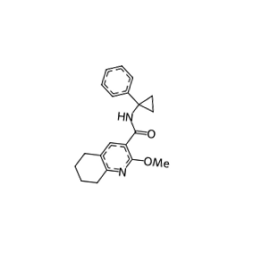 COc1nc2c(cc1C(=O)NC1(c3ccccc3)CC1)CCCC2